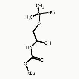 CC(C)(C)OC(=O)NC(O)CO[Si](C)(C)C(C)(C)C